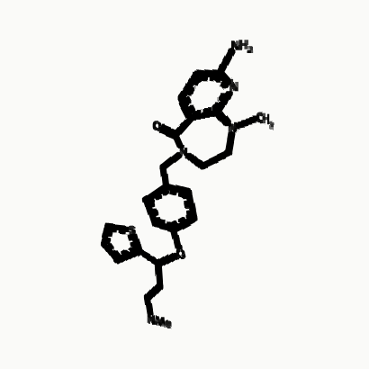 CNCCC(Oc1ccc(CN2CCN(C)c3nc(N)ccc3C2=O)cc1)c1cccs1